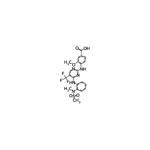 COc1cc(C(=O)O)ccc1Nc1ncc(C(F)(F)F)c(Nc2ccccc2N(C)S(C)(=O)=O)n1